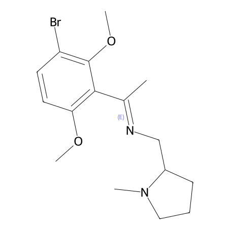 COc1ccc(Br)c(OC)c1/C(C)=N/CC1CCCN1C